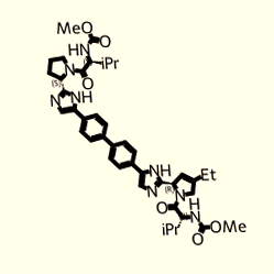 CCC1=C[C@H](c2ncc(-c3ccc(-c4ccc(-c5cnc([C@@H]6CCCN6C(=O)[C@@H](NC(=O)OC)C(C)C)[nH]5)cc4)cc3)[nH]2)N(C(=O)[C@H](NC(=O)OC)C(C)C)C1